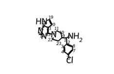 NC(c1ccc(Cl)cc1)C1CCN(c2ncnc3[nH]ccc23)CC1